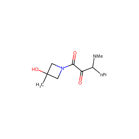 CCCC(NC)C(=O)C(=O)N1CC(C)(O)C1